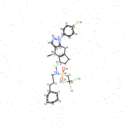 C[C@@H]1C2=C(CC[C@@H]2CN(CCCc2ccccc2)S(=O)(=O)CC(F)(F)F)Cc2c1cnn2-c1ccc(F)cc1